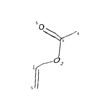 C=[C]OC(C)=O